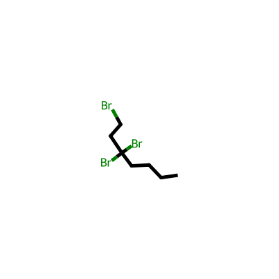 CCCCC(Br)(Br)CCBr